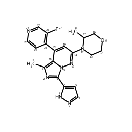 Cc1nc(-c2ccn[nH]2)n2nc(N3CCOCC3C)cc(-c3ccncc3F)c12